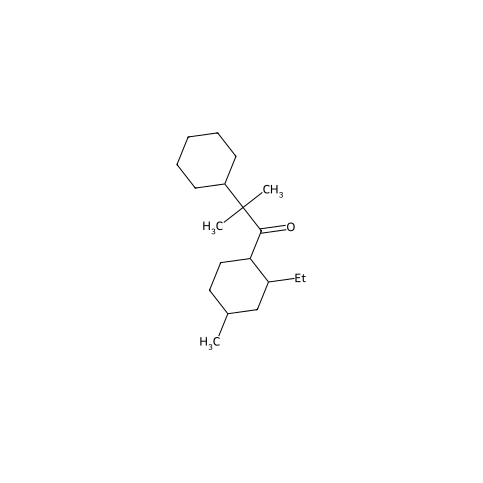 CCC1CC(C)CCC1C(=O)C(C)(C)C1CCCCC1